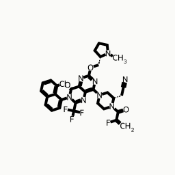 C=C(F)C(=O)N1CCN(c2nc(OC[C@@H]3CCCN3C)nc3c(=O)n(-c4cccc5cccc(Cl)c45)c(C(F)(F)F)nc23)C[C@@H]1CC#N